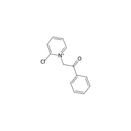 O=C(C[n+]1ccccc1Cl)c1ccccc1